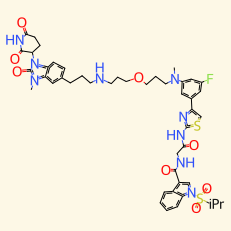 CC(C)S(=O)(=O)n1cc(C(=O)NCC(=O)Nc2nc(-c3cc(F)cc(N(C)CCCOCCCNCCCc4ccc5c(c4)n(C)c(=O)n5C4CCC(=O)NC4=O)c3)cs2)c2ccccc21